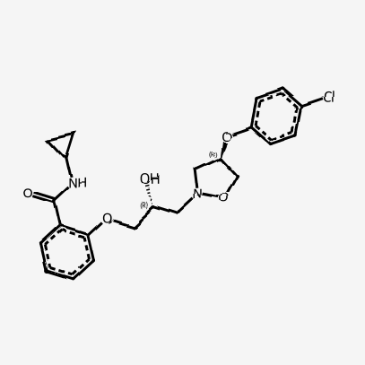 O=C(NC1CC1)c1ccccc1OC[C@H](O)CN1C[C@@H](Oc2ccc(Cl)cc2)CO1